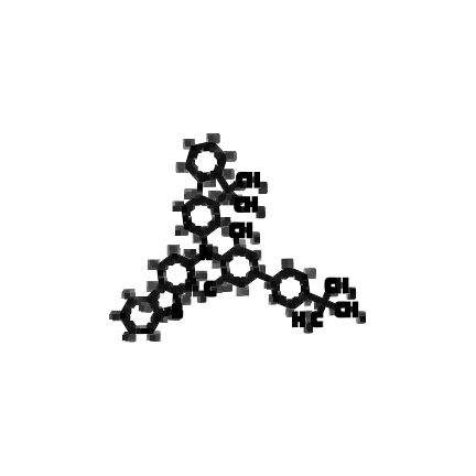 Cc1cc(-c2ccc(C(C)(C)C)cc2)cc(C)c1N(c1ccc2c(c1)C(C)(C)c1ccccc1-2)c1ccc2c(c1)sc1ccccc12